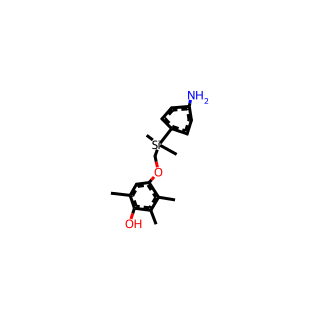 Cc1cc(OC[Si](C)(C)c2ccc(N)cc2)c(C)c(C)c1O